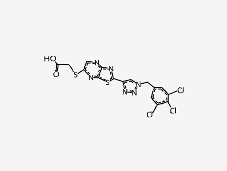 O=C(O)CSc1cnc2nc(-c3cn(Cc4cc(Cl)c(Cl)c(Cl)c4)nn3)sc2n1